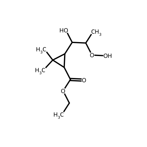 CCOC(=O)C1C(C(O)C(C)OO)C1(C)C